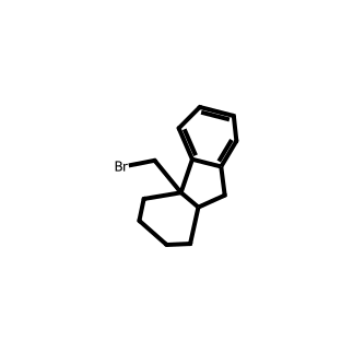 BrCC12CCCCC1Cc1ccccc12